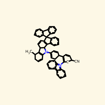 CC1CC=CC2=C1C1C=CC3=C(c4ccccc4C34c3ccccc3-c3ccccc34)C1N2C1=CCC(C2=C(n3c4ccccc4c4ccccc43)CC(C#N)C=C2)C=C1